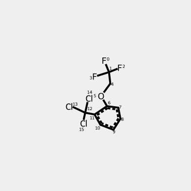 FC(F)(F)COc1ccccc1C(Cl)(Cl)Cl